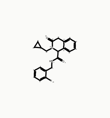 O=C(NCc1ccccc1F)C1c2ccccc2CC(=O)N1CC1CC1